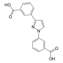 O=C(O)c1cccc(-c2ccn(-c3cccc(C(=O)O)c3)n2)c1